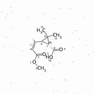 COC(=O)/C=C\C1[C@@H](C(=O)O)C1(C)C